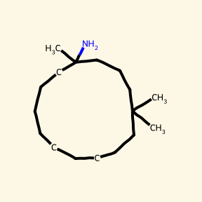 CC1(C)CCCCCCCCCC(C)(N)CCC1